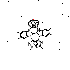 Cc1cccc(N2c3cc(C)c(C)cc3N(c3cccc(C)n3)C2C2N(c3cccc(C)n3)c3cc(C)c(C)cc3N2c2cccc(C)n2)n1